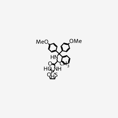 COc1ccc(C(N[C@@H](C)C(=O)N[PH]2(O)OCCS2)(c2ccccc2)c2ccc(OC)cc2)cc1